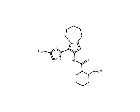 Cc1csc(-c2c(NC(=O)C3CCCCC3C(=O)O)sc3c2CCCCC3)n1